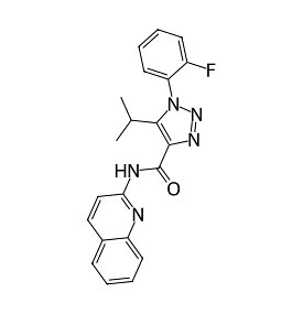 CC(C)c1c(C(=O)Nc2ccc3ccccc3n2)nnn1-c1ccccc1F